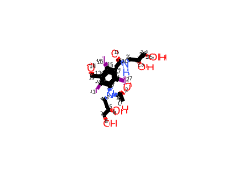 CC(=O)N(CC(O)CO)c1c(I)c(C=O)c(I)c(C(=O)NCC(O)CO)c1I